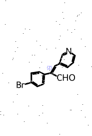 O=C/C(=C\c1cccnc1)c1ccc(Br)cc1